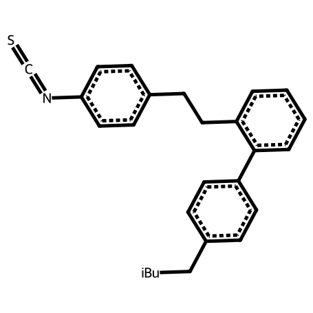 CCC(C)Cc1ccc(-c2ccccc2CCc2ccc(N=C=S)cc2)cc1